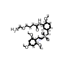 COc1cc(OC)c(/C=C/S(=O)(=O)Cc2ccc(OC)c(NC(=O)CCCOCN)c2)c(OC)c1